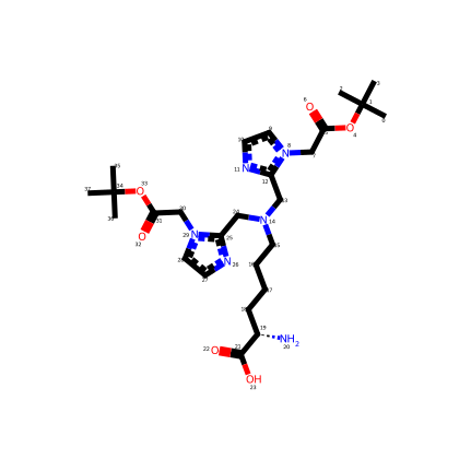 CC(C)(C)OC(=O)Cn1ccnc1CN(CCCC[C@H](N)C(=O)O)Cc1nccn1CC(=O)OC(C)(C)C